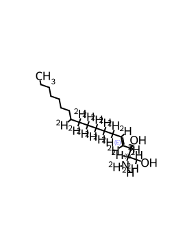 [2H]/C(=C(/[2H])[C@@]([2H])(O)[C@@]([2H])(N([2H])[2H])C([2H])([2H])O)C([2H])([2H])C([2H])([2H])C([2H])([2H])C([2H])([2H])C([2H])([2H])C([2H])CCCCCCC